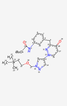 CC(C)COC(=O)Nc1cccc(Cc2nn(-c3cnn(COCC[Si](C)(C)C)c3)ccc2=O)c1